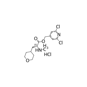 CN[C@@H](CC1CCOCC1)C(=O)OCc1cc(Cl)nc(Cl)c1.Cl